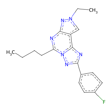 CCCCc1nc2nn(CC)cc2c2nc(-c3ccc(F)cc3)nn12